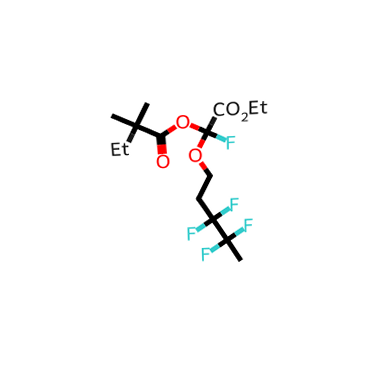 CCOC(=O)C(F)(OCCC(F)(F)C(C)(F)F)OC(=O)C(C)(C)CC